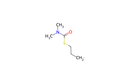 [CH2]CCSC(=O)N(C)C